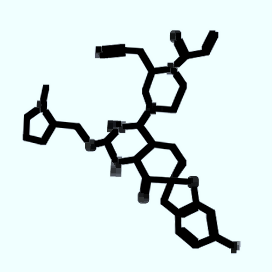 C=CC(=O)N1CCN(C2NC(OCC3CCCN3C)NC3C(=O)[C@@]4(CCC32)Cc2ccc(F)cc2O4)CC1CC#N